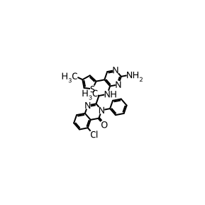 Cc1csc(-c2cnc(N)nc2N[C@@H](C)c2nc3cccc(Cl)c3c(=O)n2-c2ccccc2)c1